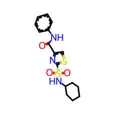 O=C(Nc1ccccc1)c1csc(S(=O)(=O)NC2CCCCC2)n1